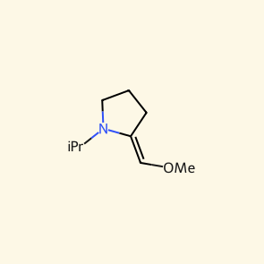 CO/C=C1\CCCN1C(C)C